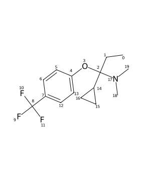 CCC(Oc1ccc(C(F)(F)F)cc1)(C1CC1)N(C)C